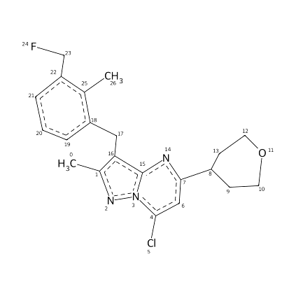 Cc1nn2c(Cl)cc(C3CCOCC3)nc2c1Cc1cccc(CF)c1C